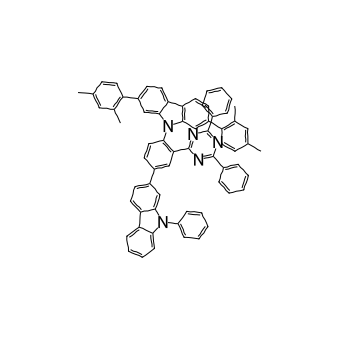 Cc1ccc(-c2ccc3c4ccc(-c5ccc(C)cc5C)cc4n(-c4ccc(-c5ccc6c7ccccc7n(-c7ccccc7)c6c5)cc4-c4nc(-c5ccccc5)nc(-c5ccccc5)n4)c3c2)c(C)c1